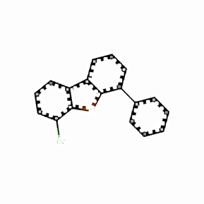 Brc1cccc2c1sc1c(-c3ccccc3)cccc12